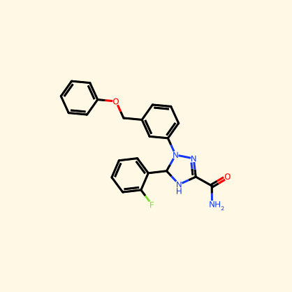 NC(=O)C1=NN(c2cccc(COc3ccccc3)c2)C(c2ccccc2F)N1